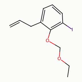 C=CCc1cccc(I)c1OCOCC